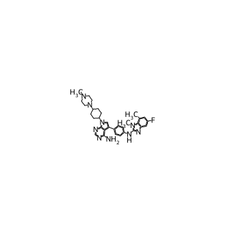 Cc1cc(F)cc2nc(Nc3ccc(-c4cn(C5CCC(N6CCN(C)CC6)CC5)c5ncnc(N)c45)cc3)n(C)c12